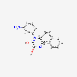 Nc1cccc(-n2c(=O)c(=O)[nH]c3c4ccccc4ccc32)c1